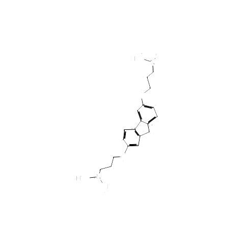 CN(C)CCCOc1ccc2c(c1)Cc1ccc(OCCCN(C)C)cc1-2